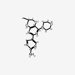 CC1COc2c(nc(-c3cnc(N)nc3)nc2N2CCOCC2)O1